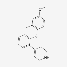 COc1ccc(Sc2ccccc2C2=CCNCC2)c(C)c1